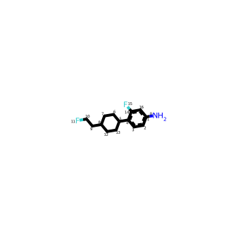 Nc1ccc(C2CCC(CCF)CC2)c(F)c1